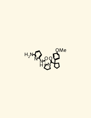 COc1ccc(C2(C(=O)N3CCC[C@@H]3C(=O)Nc3cccc(N)n3)CCCC2)cc1